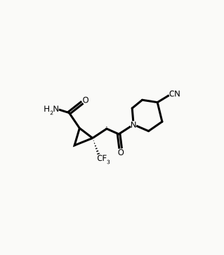 N#CC1CCN(C(=O)[CH][C@@]2(C(F)(F)F)CC2C(N)=O)CC1